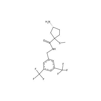 CSC1(C(=O)NCc2cc(C(F)(F)F)cc(C(F)(F)F)c2)CC[C@@H](N)C1